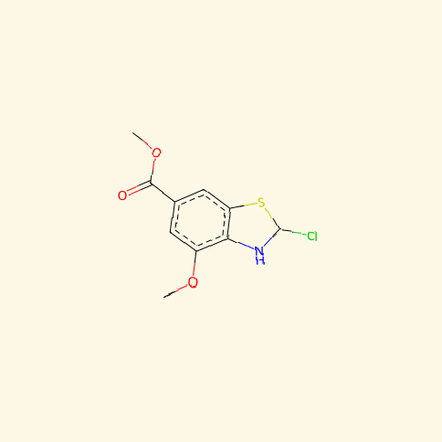 COC(=O)c1cc(OC)c2c(c1)SC(Cl)N2